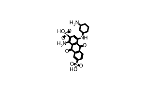 Nc1c(S(=O)(=O)O)cc(NC2CCCC(N)C2)c2c1C(=O)c1cc(S(=O)(=O)O)ccc1C2=O